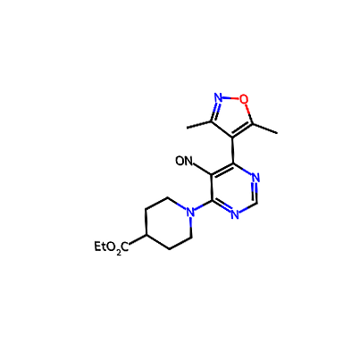 CCOC(=O)C1CCN(c2ncnc(-c3c(C)noc3C)c2N=O)CC1